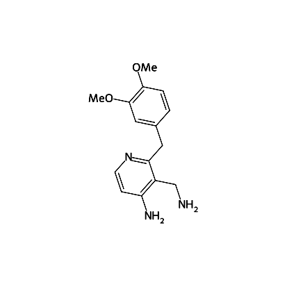 COc1ccc(Cc2nccc(N)c2CN)cc1OC